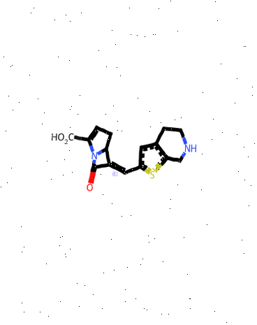 O=C(O)C1=CCC2/C(=C\c3cc4c(s3)CNCC4)C(=O)N12